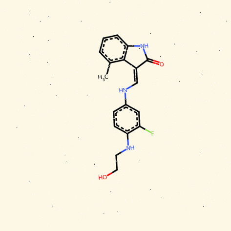 Cc1cccc2c1/C(=C\Nc1ccc(NCCO)c(F)c1)C(=O)N2